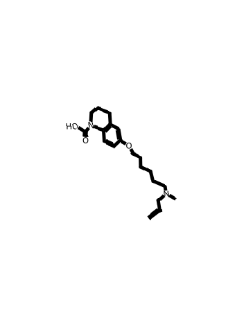 C=CCN(C)CCCCCCOc1ccc2c(c1)CCCN2C(=O)O